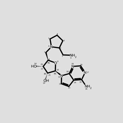 NCC1CCCN1C[C@H]1O[C@@H](n2ccc3c(N)ncnc32)[C@H](O)[C@@H]1O